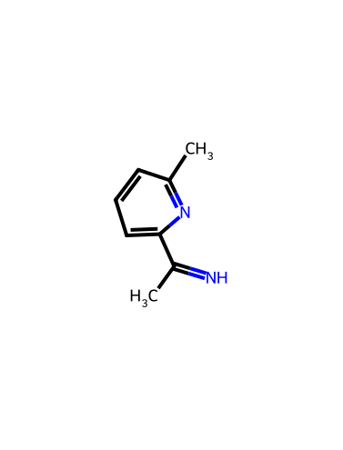 CC(=N)c1cccc(C)n1